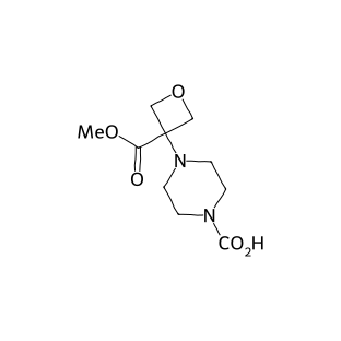 COC(=O)C1(N2CCN(C(=O)O)CC2)COC1